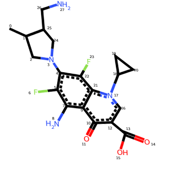 CC1CN(c2c(F)c(N)c3c(=O)c(C(=O)O)cn(C4CC4)c3c2F)CC1CN